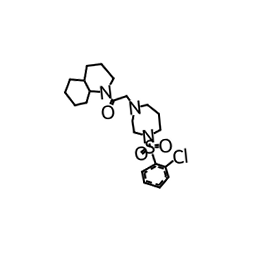 O=C(CN1CCCN(S(=O)(=O)c2ccccc2Cl)CC1)N1CCCC2CCCCC21